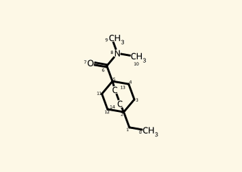 CCC12CCC(C(=O)N(C)C)(CC1)CC2